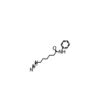 [N-]=[N+]=NCCCCCC(=O)Nc1ccccc1